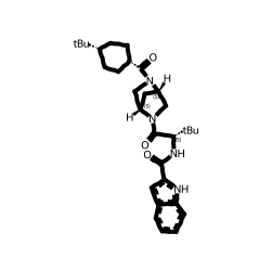 CC(C)(C)[C@H](NC(=O)c1cc2ccccc2[nH]1)C(=O)N1C[C@@H]2C[C@H]1CN2C(=O)[C@H]1CC[C@@H](C(C)(C)C)CC1